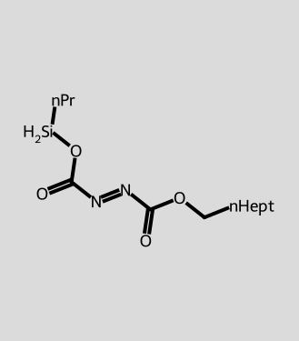 CCCCCCCCOC(=O)N=NC(=O)O[SiH2]CCC